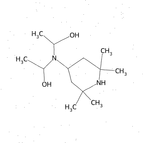 CC(O)N(C(C)O)C1CC(C)(C)NC(C)(C)C1